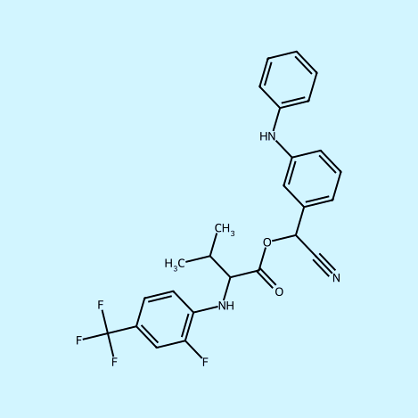 CC(C)C(Nc1ccc(C(F)(F)F)cc1F)C(=O)OC(C#N)c1cccc(Nc2ccccc2)c1